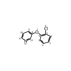 Clc1[c]cccc1Oc1cccnc1